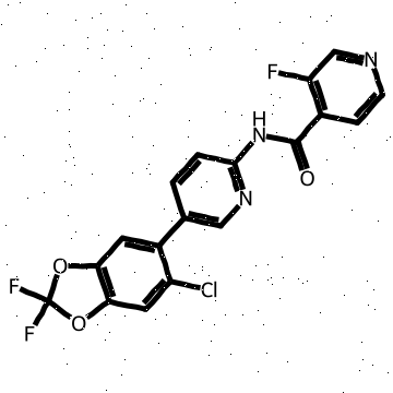 O=C(Nc1ccc(-c2cc3c(cc2Cl)OC(F)(F)O3)cn1)c1ccncc1F